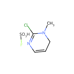 CN1CC=CN=C1Cl.O=S(=O)(O)F